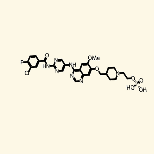 COc1cc2c(Nc3cnc(NC(=O)c4ccc(F)c(Cl)c4)nc3)ncnc2cc1OCC1CCN(CCOP(=O)(O)O)CC1